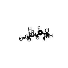 CCN1NCC(Cl)C1c1cc(F)cc(C(=O)NC[C@@H](N)C(=O)OCCOC)c1